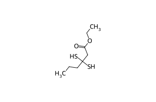 CCCC(S)(S)CC(=O)OCC